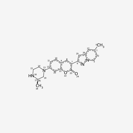 Cc1ccn2nc(-c3cc4ccc(N5CCN[C@H](C)C5)cc4oc3=O)cc2c1